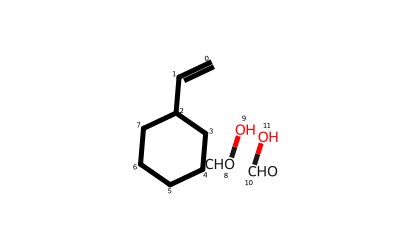 C=CC1CCCCC1.O=CO.O=CO